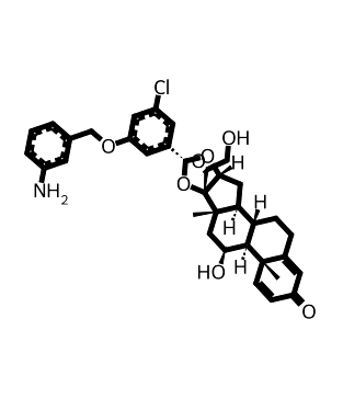 C[C@]12C=CC(=O)C=C1CC[C@@H]1[C@@H]2[C@@H](O)C[C@@]2(C)[C@H]1C[C@H]1O[C@@H](c3cc(Cl)cc(OCc4cccc(N)c4)c3)O[C@]12C(=O)CO